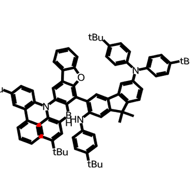 CC(C)(C)c1ccc(Nc2cc3c(cc2-c2c4c(cc5c2oc2ccccc25)N(c2ccc(C(C)(C)C)cc2-c2ccccc2)c2ccc(C(C)(C)C)cc2B4)-c2cc(N(c4ccc(C(C)(C)C)cc4)c4ccc(C(C)(C)C)cc4)ccc2C3(C)C)cc1